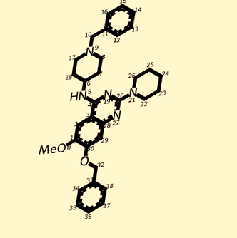 COc1cc2c(NC3CCN(Cc4ccccc4)CC3)nc(N3CCCCC3)nc2cc1OCc1ccccc1